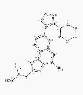 CC(Cn1cc2c(N)nc3cc(-c4ccnn4C4CCCCO4)ccc3c2n1)C(=O)O